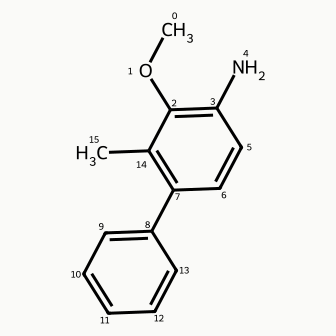 COc1c(N)ccc(-c2ccccc2)c1C